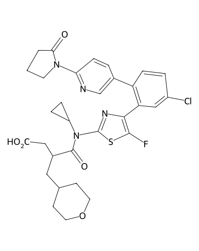 O=C(O)CC(CC1CCOCC1)C(=O)N(c1nc(-c2cc(Cl)ccc2-c2ccc(N3CCCC3=O)nc2)c(F)s1)C1CC1